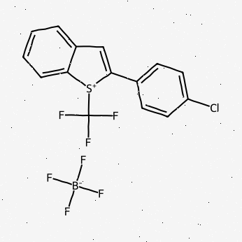 FC(F)(F)[s+]1c(-c2ccc(Cl)cc2)cc2ccccc21.F[B-](F)(F)F